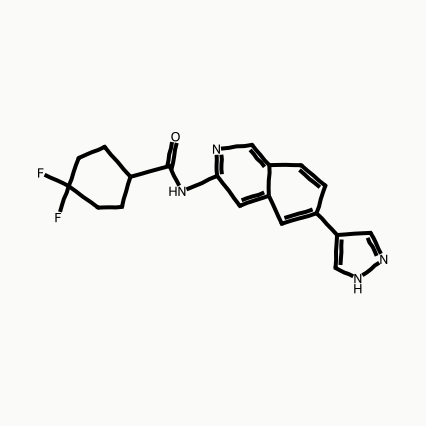 O=C(Nc1cc2cc(-c3cn[nH]c3)ccc2cn1)C1CCC(F)(F)CC1